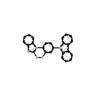 c1ccc2c(c1)nc1n2-c2ccc(-n3c4ccccc4c4ccccc43)cc2SS1